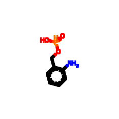 Nc1ccccc1CO[PH](=O)O